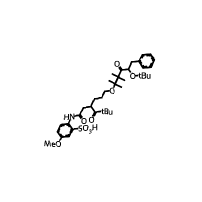 COc1ccc(NC(=O)CC(CCCOC(C)(C)C(C)(C)C(=O)C(Cc2ccccc2)OC(C)(C)C)C(=O)C(C)(C)C)c(S(=O)(=O)O)c1